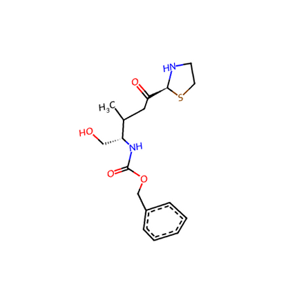 CC(CC(=O)[C@H]1NCCS1)[C@@H](CO)NC(=O)OCc1ccccc1